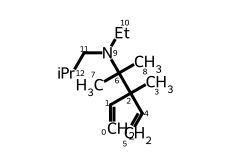 C=CC(C)(C=C)C(C)(C)N(CC)CC(C)C